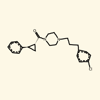 O=C([C@@H]1C[C@H]1c1ccccc1)N1CCN(CCCc2ccc(Cl)cc2)CC1